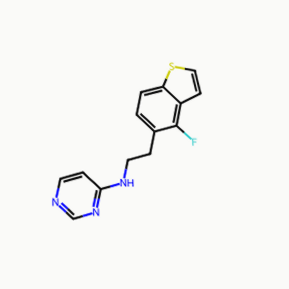 Fc1c(CCNc2ccncn2)ccc2sccc12